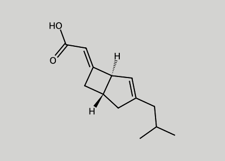 CC(C)CC1=C[C@@H]2C(=CC(=O)O)C[C@H]2C1